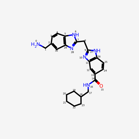 NCc1ccc2[nH]c(Cc3nc4cc(C(=O)NCC5CCCCC5)ccc4[nH]3)nc2c1